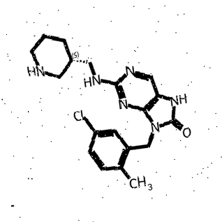 Cc1ccc(Cl)cc1Cn1c(=O)[nH]c2cnc(NC[C@H]3CCCNC3)nc21